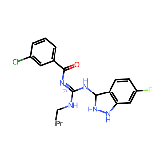 CC(C)CN/C(=N/C(=O)c1cccc(Cl)c1)NC1NNc2cc(F)ccc21